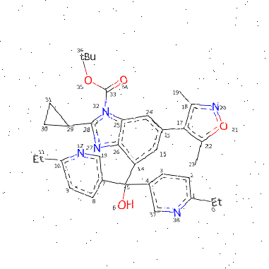 CCc1ccc(C(O)(c2ccc(CC)nc2)c2cc(-c3c(C)noc3C)cc3c2nc(C2CC2)n3C(=O)OC(C)(C)C)cn1